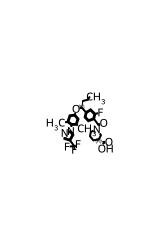 CCC[C@H](Oc1cc(C)c(-n2cc(C(F)(F)F)cn2)c(C)c1)c1ccc(C(=O)N2CCC[C@@H](C(=O)O)C2)c(F)c1